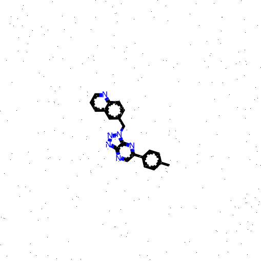 Cc1ccc(-c2cnc3nnn(Cc4ccc5ncccc5c4)c3n2)cc1